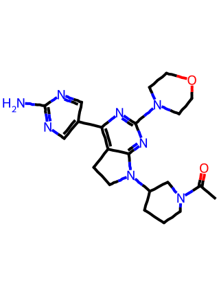 CC(=O)N1CCCC(N2CCc3c(-c4cnc(N)nc4)nc(N4CCOCC4)nc32)C1